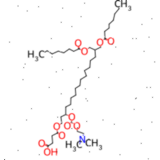 CCCCCCCC(=O)OCC(CCCCCCCCCCCCC(CCOC(=O)CCC(=O)O)OC(=O)OCCN(C)C)COC(=O)CCCCCCC